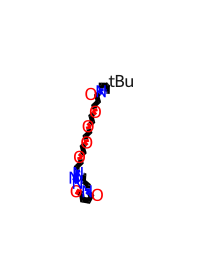 CC(C)(C)C1CN(C(=O)CCOCCOCCOCCOCCn2cc(CN3C(=O)C=CC3=O)nn2)C1